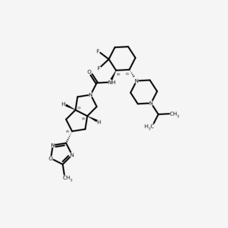 Cc1nc([C@@H]2C[C@@H]3CN(C(=O)N[C@@H]4[C@@H](N5CCN(C(C)C)CC5)CCCC4(F)F)C[C@@H]3C2)no1